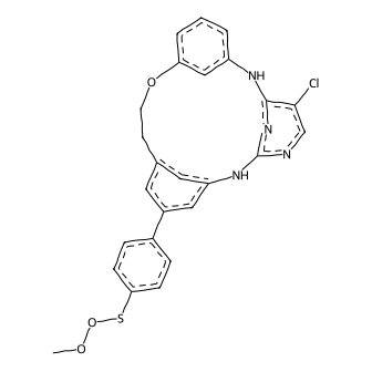 COOSc1ccc(-c2cc3cc(c2)Nc2ncc(Cl)c(n2)Nc2cccc(c2)OCC3)cc1